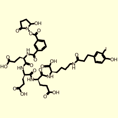 O=C(O)CC[C@@H](NC(=O)c1cccc(C(=O)ON2C(=O)CCC2O)c1)C(=O)N[C@H](CCC(=O)O)C(=O)N[C@H](CCC(=O)O)C(=O)N[C@H](CCCCNC(=O)CCc1ccc(O)c(I)c1)C(=O)O